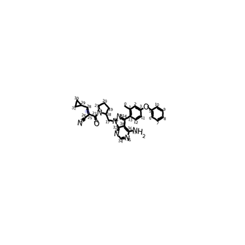 Cc1cc(Oc2ccccc2)ccc1-c1nn(CC2CCCN2C(=O)/C(C#N)=C/C2CC2)c2ncnc(N)c12